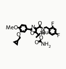 COc1ccc(-c2nc(C(=O)NCc3ccc(F)cc3F)c(C(C)(OC(N)=O)C(C)(C)C)o2)cc1OCC1CC1